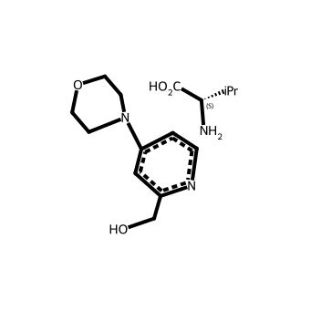 CC(C)[C@H](N)C(=O)O.OCc1cc(N2CCOCC2)ccn1